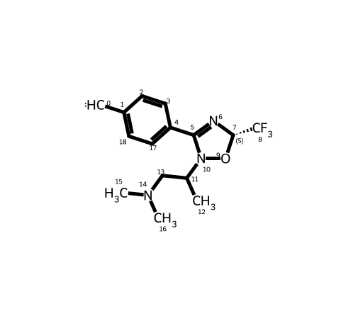 [CH]c1ccc(C2=N[C@H](C(F)(F)F)ON2C(C)CN(C)C)cc1